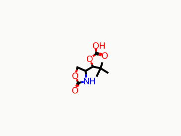 CC(C)(C)C(OC(=O)O)C1COC(=O)N1